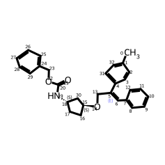 Cc1ccc(/C(=C\c2ccccc2)CO[C@H]2CC[C@H](NC(=O)OCc3ccccc3)C2)cc1